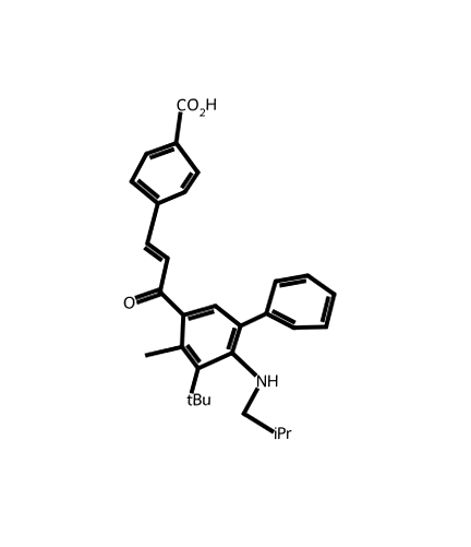 Cc1c(C(=O)C=Cc2ccc(C(=O)O)cc2)cc(-c2ccccc2)c(NCC(C)C)c1C(C)(C)C